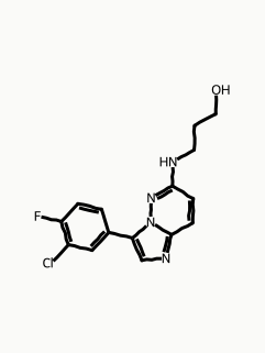 OCCCNc1ccc2ncc(-c3ccc(F)c(Cl)c3)n2n1